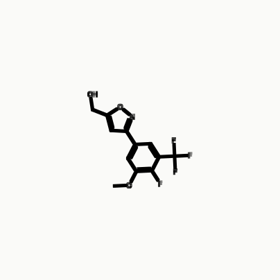 COc1cc(-c2cc(CO)on2)cc(C(F)(F)F)c1F